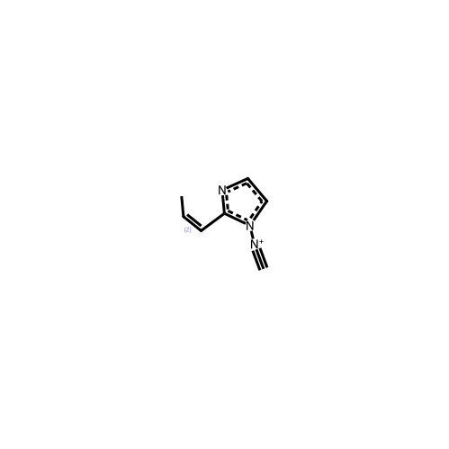 C#[N+]n1ccnc1/C=C\C